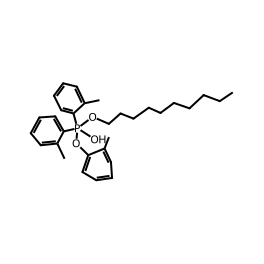 CCCCCCCCCCOP(O)(Oc1ccccc1C)(c1ccccc1C)c1ccccc1C